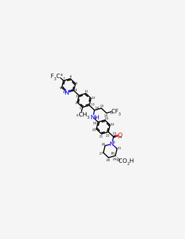 Cc1cc(-c2ccc(C(F)(F)F)cn2)ccc1C(CCC(F)(F)F)Nc1ccc(C(=O)N2CCC[C@@H](C(=O)O)C2)cc1